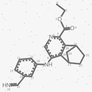 CCOC(=O)c1ncc(Nc2cccc(C=N)c2)c2c1C1CCC2C1